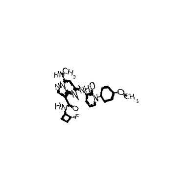 CNc1cc(Nc2cccn([C@H]3CC[C@H](OC)CC3)c2=O)nc2c(C(=O)NC3CC[C@@H]3F)cnn12